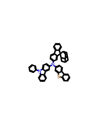 c1ccc(-n2c3ccccc3c3cc(N(c4ccc5c(c4)C4(c6ccccc6-5)C5CC6CC(C5)CC4C6)c4ccc5c(c4)sc4ccccc45)ccc32)cc1